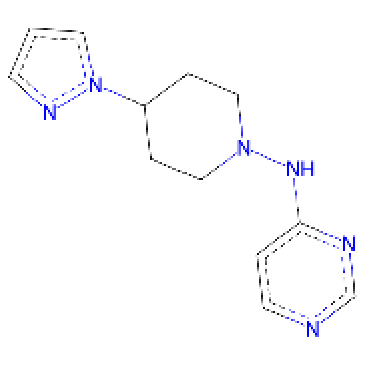 c1cnn(C2CCN(Nc3ccncn3)CC2)c1